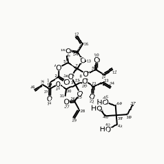 C=CC(=O)OC(C)C(OC(=O)C=C)(OC(=O)C=C)OC(OC(=O)C=C)(OC(=O)C=C)C(C)OC(=O)C=C.CCC(CO)(CO)CO